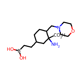 NC1(C(=O)O)CC(CCB(O)O)CCC1CN1CCOCC1